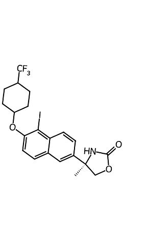 C[C@@]1(c2ccc3c(I)c(OC4CCC(C(F)(F)F)CC4)ccc3c2)COC(=O)N1